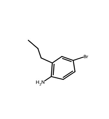 CCCc1cc(Br)ccc1N